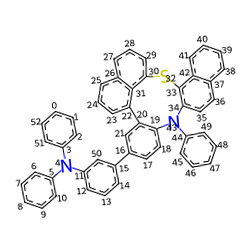 c1ccc(N(c2ccccc2)c2cccc(-c3ccc4c(c3)-c3cccc5cccc(c35)Sc3c(ccc5ccccc35)N4c3ccccc3)c2)cc1